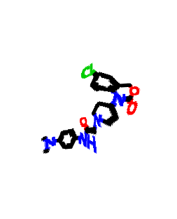 CN(C)c1ccc(NC(=O)CN2CCC(N3C(=O)OCc4cc(Cl)ccc43)CC2)cc1